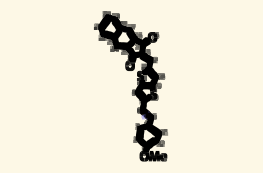 COc1ccc(/C=C/c2cc3sc(C=C4C(=O)c5cc6ccccc6cc5C4=O)cc3s2)cc1